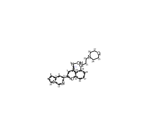 O/N=c1/cc(-c2cc3cccn3cn2)oc2cccc(OCCN3CCOCC3)c12